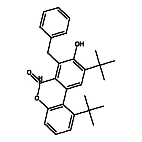 CC(C)(C)c1cc2c(c(Cc3ccccc3)c1O)[PH](=O)Oc1cccc(C(C)(C)C)c1-2